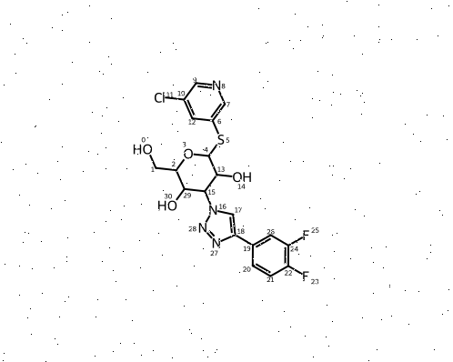 OCC1OC(Sc2cncc(Cl)c2)C(O)C(n2cc(-c3ccc(F)c(F)c3)nn2)C1O